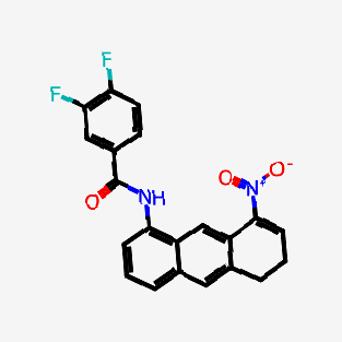 O=C(Nc1cccc2cc3c(cc12)C([N+](=O)[O-])=CCC3)c1ccc(F)c(F)c1